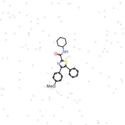 COc1ccc(-c2nc(C(=O)NC3CCCCC3)sc2-c2ccccc2)cc1